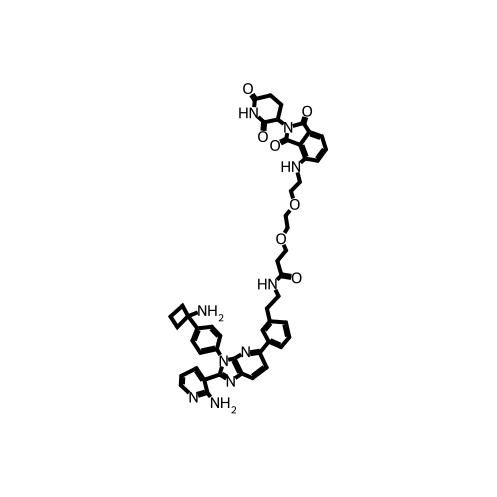 Nc1ncccc1-c1nc2ccc(-c3cccc(CCNC(=O)CCOCCOCCNc4cccc5c4C(=O)N(C4CCC(=O)NC4=O)C5=O)c3)nc2n1-c1ccc(C2(N)CCC2)cc1